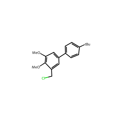 COc1cc(-c2ccc(C(C)(C)C)cc2)cc(CCl)c1OC